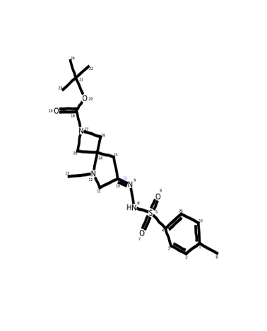 Cc1ccc(S(=O)(=O)N/N=C2\CN(C)C3(C2)CN(C(=O)OC(C)(C)C)C3)cc1